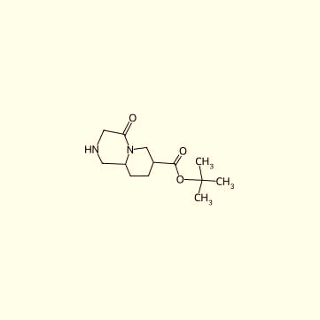 CC(C)(C)OC(=O)C1CCC2CNCC(=O)N2C1